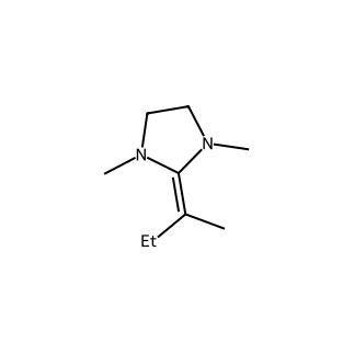 CCC(C)=C1N(C)CCN1C